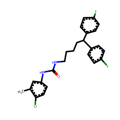 Cc1cc(NC(=O)NCCCCC(c2ccc(F)cc2)c2ccc(F)cc2)ccc1Cl